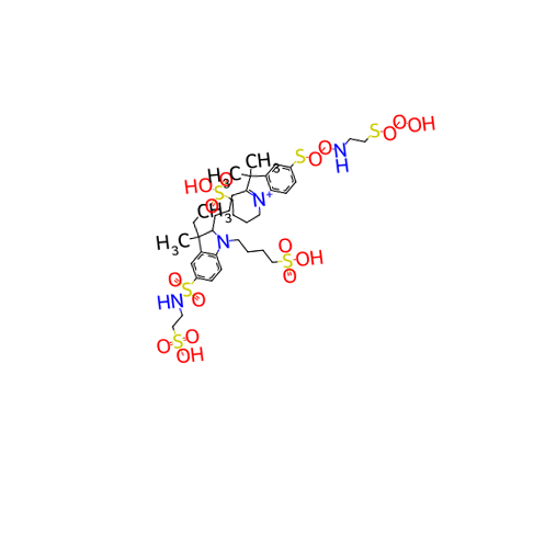 CCC1(C)c2cc(S(=O)(=O)NCCS(=O)(=O)O)ccc2N(CCCCS(=O)(=O)O)C1CCCC1=[N+](CCCCS(=O)(=O)O)c2ccc(SOONCCSOOO)cc2C1(C)C